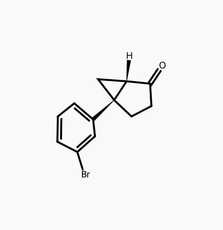 O=C1CC[C@]2(c3cccc(Br)c3)C[C@H]12